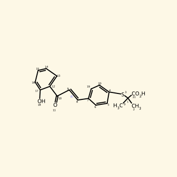 CC(C)(Sc1ccc(/C=C/C(=O)c2ccccc2O)cc1)C(=O)O